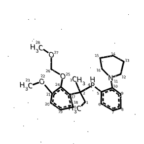 CCC(C)(Pc1ccccc1N1CCCCC1)c1cccc(OC)c1OCOC